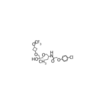 C[C@](O)(COC1CC(OC(F)(F)F)C1)[C@H]1CC[C@H](NC(=O)COc2ccc(Cl)cc2)CO1